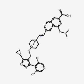 CC(C)Oc1nc(C(=O)O)cc2ccc(/C=C/C34CCC(OCc5c(-c6c(Cl)cncc6Cl)noc5C5CC5)(CC3)CC4)cc12